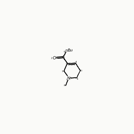 CCCCC(=O)C1=CCCN(C)C1